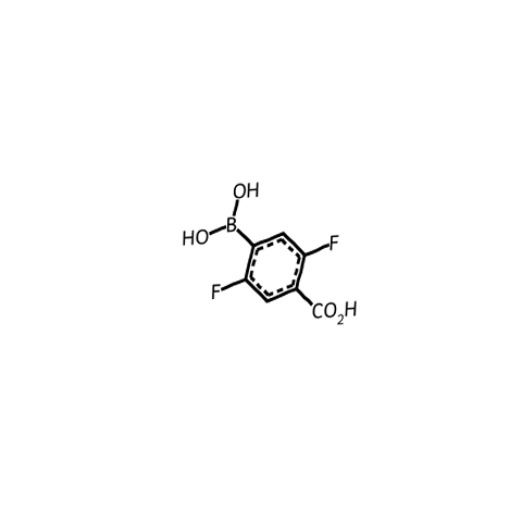 O=C(O)c1cc(F)c(B(O)O)cc1F